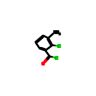 O=C(Cl)c1cccc([N+](=O)[O-])c1Cl